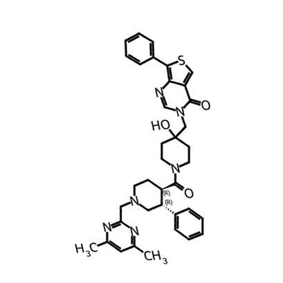 Cc1cc(C)nc(CN2CC[C@@H](C(=O)N3CCC(O)(Cn4cnc5c(-c6ccccc6)scc5c4=O)CC3)[C@H](c3ccccc3)C2)n1